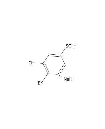 O=S(=O)(O)c1cnc(Br)c(Cl)c1.[NaH]